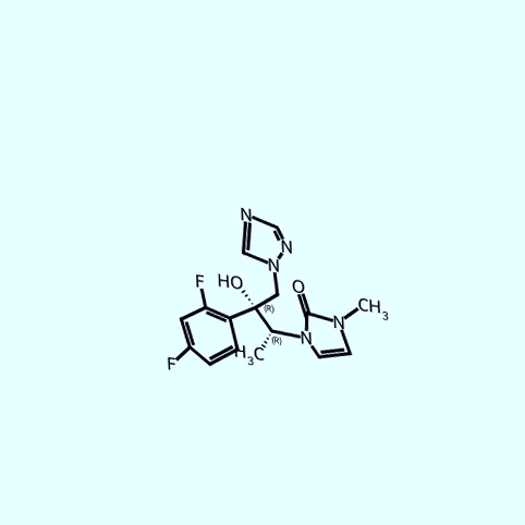 C[C@@H](n1ccn(C)c1=O)[C@](O)(Cn1cncn1)c1ccc(F)cc1F